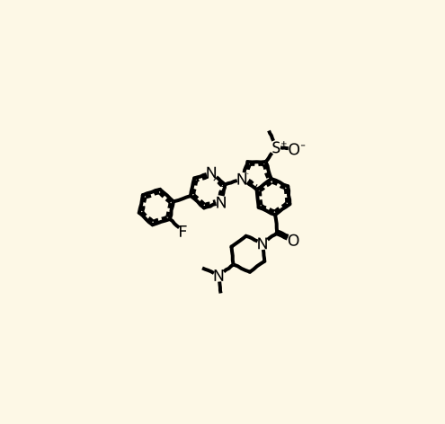 CN(C)C1CCN(C(=O)c2ccc3c([S+](C)[O-])cn(-c4ncc(-c5ccccc5F)cn4)c3c2)CC1